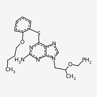 CCCCOc1ccccc1Sc1nc(N)nc2c1ncn2CC(C)OCP